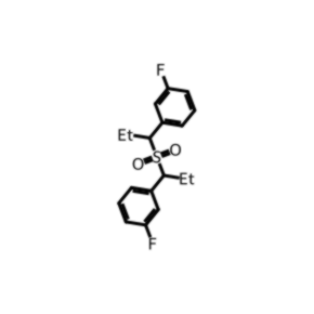 CCC(c1cccc(F)c1)S(=O)(=O)C(CC)c1cccc(F)c1